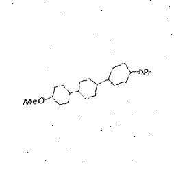 CCCC1CCC(C2CCC(C3CCC(OC)CC3)CC2)CC1